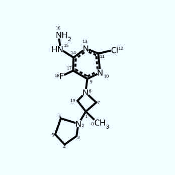 CC1(N2CCCC2)CN(c2nc(Cl)nc(NN)c2F)C1